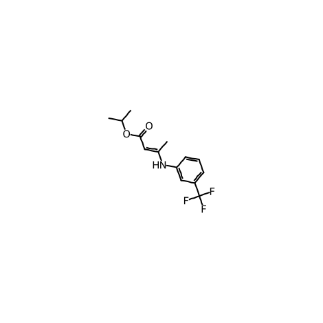 C/C(=C\C(=O)OC(C)C)Nc1cccc(C(F)(F)F)c1